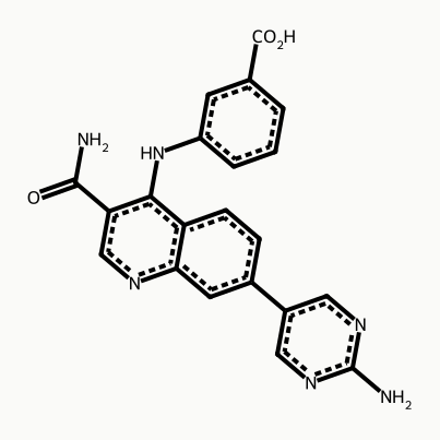 NC(=O)c1cnc2cc(-c3cnc(N)nc3)ccc2c1Nc1cccc(C(=O)O)c1